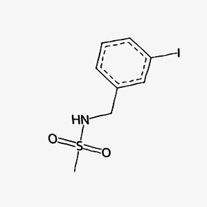 CS(=O)(=O)NCc1cccc(I)c1